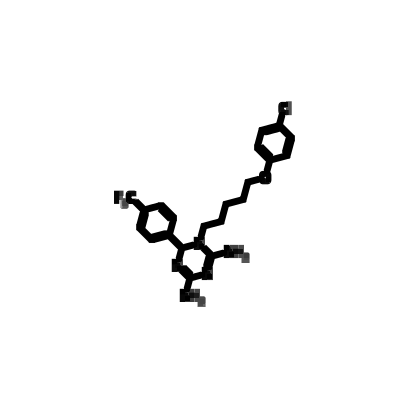 NC1=NC(c2ccc(C(F)(F)F)cc2)N(CCCCCOc2ccc(Cl)cc2)C(N)=N1